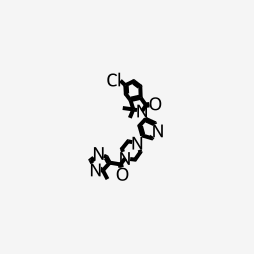 Cc1ncncc1C(=O)N1CCN(c2cncc(N3C(=O)c4ccc(Cl)cc4C3(C)C)c2)CC1